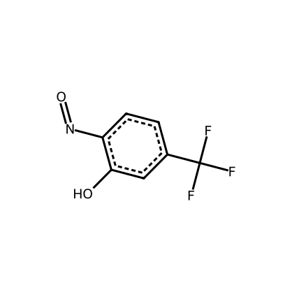 O=Nc1ccc(C(F)(F)F)cc1O